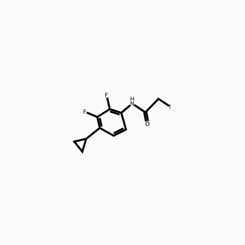 O=C(CI)Nc1ccc(C2CC2)c(F)c1F